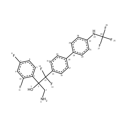 NCC(O)(c1ccc(F)cc1F)C(F)(F)c1ccc(-c2ccc(NC(F)(F)F)cc2)cn1